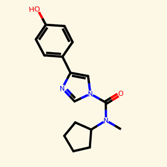 CN(C(=O)n1cnc(-c2ccc(O)cc2)c1)C1CCCC1